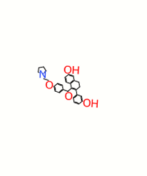 O=C(C1=C(c2cccc(O)c2)CCc2cc(O)ccc21)c1ccc(OCCN2CCCC2)cc1